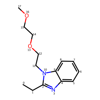 CCc1nc2ccccc2n1CCOCCOC